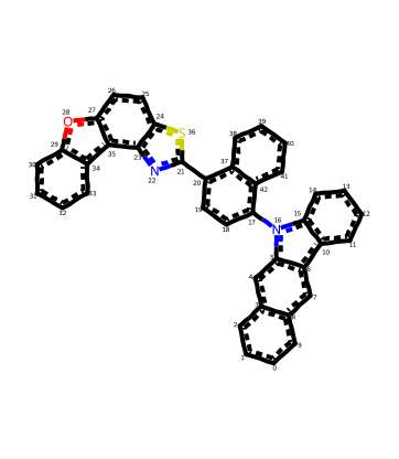 c1ccc2cc3c(cc2c1)c1ccccc1n3-c1ccc(-c2nc3c(ccc4oc5ccccc5c43)s2)c2ccccc12